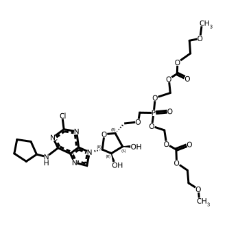 COCCOC(=O)OCOP(=O)(COC[C@H]1O[C@@H](n2cnc3c(NC4CCCC4)nc(Cl)nc32)[C@H](O)[C@@H]1O)OCOC(=O)OCCOC